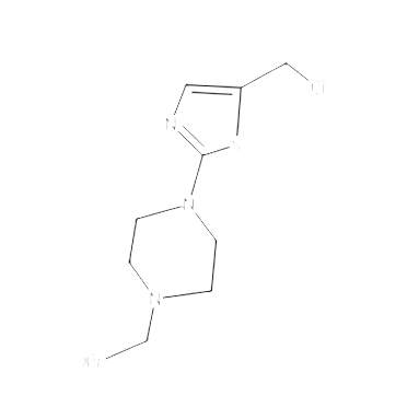 C[C](C)CN1CCN(c2ncc(CCl)s2)CC1